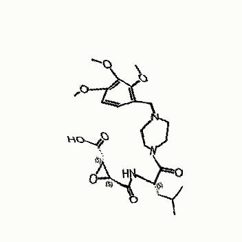 COc1ccc(CN2CCN(C(=O)[C@H](CC(C)C)NC(=O)[C@H]3O[C@@H]3C(=O)O)CC2)c(OC)c1OC